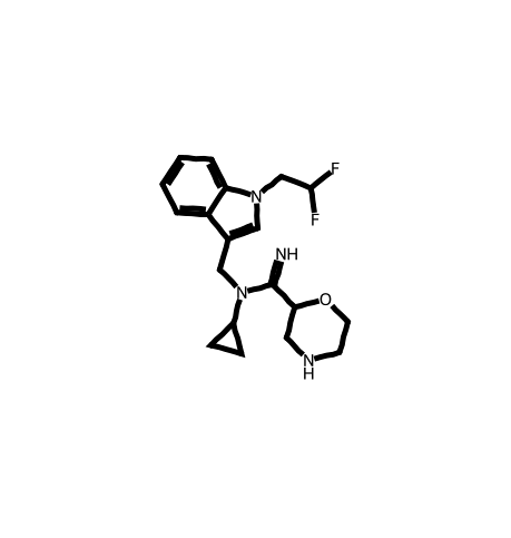 N=C(C1CNCCO1)N(Cc1cn(CC(F)F)c2ccccc12)C1CC1